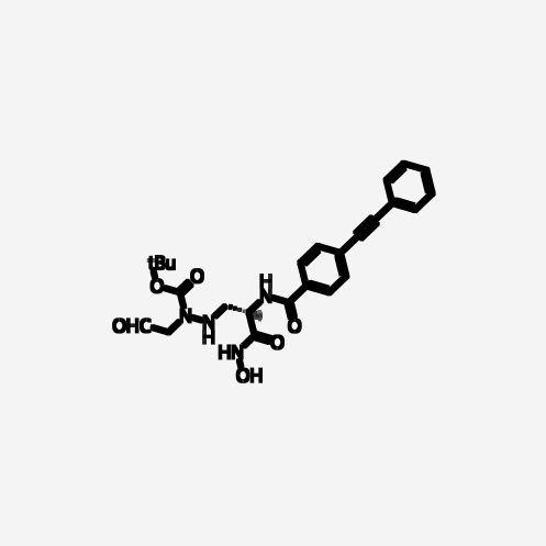 CC(C)(C)OC(=O)N(CC=O)NC[C@H](NC(=O)c1ccc(C#Cc2ccccc2)cc1)C(=O)NO